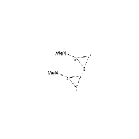 CNC1CC1.CNC1CC1